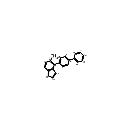 Cc1ccc2c(c1-c1ccc(-c3ccccc3)cc1)C=CC2